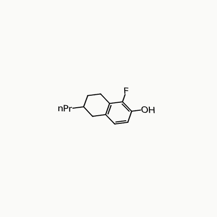 CCCC1CCc2c(ccc(O)c2F)C1